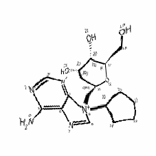 Nc1ncnc2c1N=C[N+]2(C1CCCC1)[C@@H]1O[C@H](CO)[C@@H](O)[C@H]1O